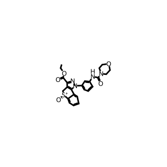 CCOC(=O)c1nn(-c2cccc(NC(=O)N3CCOCC3)c2)c2c1C[S+]([O-])c1ccccc1-2